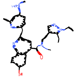 CCn1ncc(CN(C)C(=O)c2cc(-c3ccc(NC)c(C)n3)nc3ccc(O)cc23)c1C